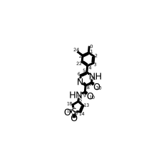 Cc1ccc(-c2cnc(C(=O)NC3C=CS(=O)(=O)C3)c(=O)[nH]2)cc1C